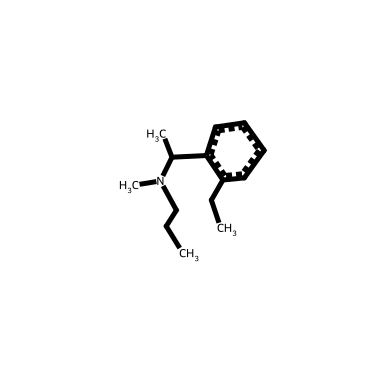 CCCN(C)C(C)c1ccccc1CC